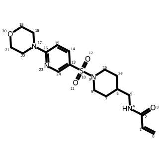 C=CC(=O)NCC1CCN(S(=O)(=O)c2ccc(N3CCOCC3)nc2)CC1